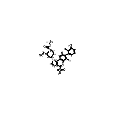 Cc1c(Cl)cccc1-c1c(Cl)cc2c(nc(S(C)(=O)=O)c3ncn([C@H]4CCN(C(=O)OC(C)(C)C)[C@H](CC#N)C4)c32)c1F